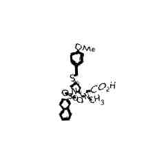 COc1ccc(CS[C@@H]2C[C@@H](C(=O)N(C)CC(=O)O)N(S(=O)(=O)c3ccc4ccccc4c3)C2)cc1